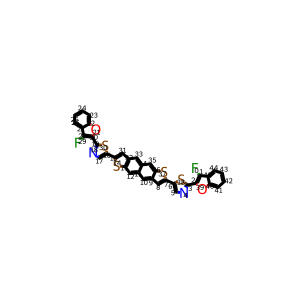 Fc1c(-c2ncc(-c3cc4cc5cc6sc(-c7cnc(-c8oc9ccccc9c8F)s7)cc6cc5cc4s3)s2)oc2ccccc12